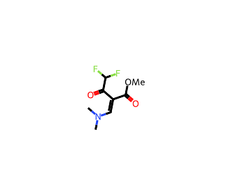 COC(=O)C(=CN(C)C)C(=O)C(F)F